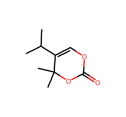 CC(C)C1=COC(=O)OC1(C)C